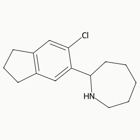 Clc1cc2c(cc1C1CCCCCN1)CCC2